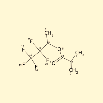 C=C(C)C(=O)OC(C)C(F)(F)C(F)(F)F